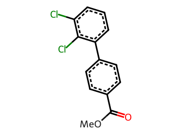 COC(=O)c1ccc(-c2cccc(Cl)c2Cl)cc1